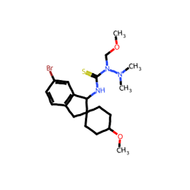 COCN(C(=S)NC1c2cc(Br)ccc2CC12CCC(OC)CC2)N(C)C